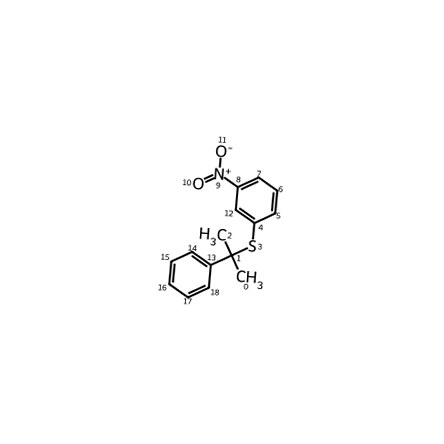 CC(C)(Sc1cccc([N+](=O)[O-])c1)c1ccccc1